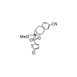 COCN(C1C2CCC1Cc1cc(C#N)ccc1C2)S(=O)(=O)c1ccc(Cl)s1